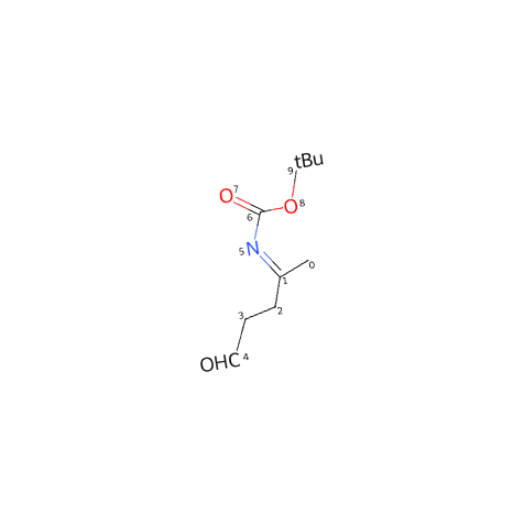 CC(CCC=O)=NC(=O)OC(C)(C)C